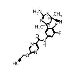 C#CCOc1cnc(C(=O)Nc2cc(F)c(F)c([C@]3(C)C[C@](C)(C#N)SC(N)=N3)c2)cn1